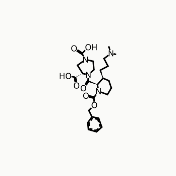 CN(C)CCC[C@H]1CCCN(C(=O)OCc2ccccc2)[C@H]1C(=O)N1CCN(C(=O)O)C[C@H]1C(=O)O